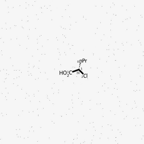 CCC[C@H](Cl)C(=O)O